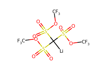 [Li][C](S(=O)(=O)OC(F)(F)F)(S(=O)(=O)OC(F)(F)F)S(=O)(=O)OC(F)(F)F